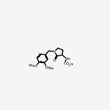 COc1ccc(CN2CCC(NC(=O)O)C2=O)cc1OC